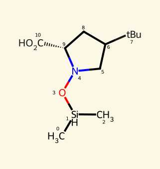 C[SiH](C)ON1CC(C(C)(C)C)C[C@H]1C(=O)O